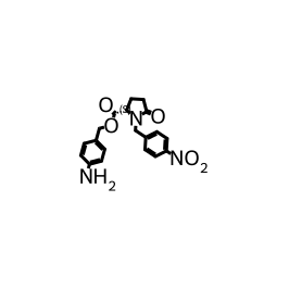 Nc1ccc(COC(=O)[C@@H]2CCC(=O)N2Cc2ccc([N+](=O)[O-])cc2)cc1